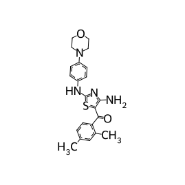 Cc1ccc(C(=O)c2sc(Nc3ccc(N4CCOCC4)cc3)nc2N)c(C)c1